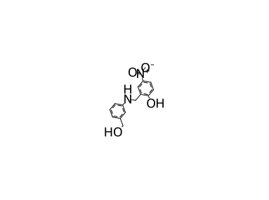 O=[N+]([O-])c1ccc(O)c(CNc2cccc(CO)c2)c1